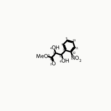 COC(=O)C(O)C(O)c1ccccc1[N+](=O)[O-]